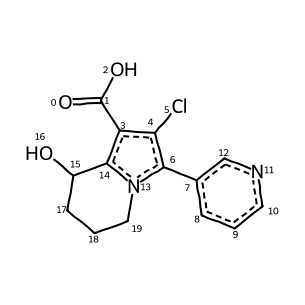 O=C(O)c1c(Cl)c(-c2cccnc2)n2c1C(O)CCC2